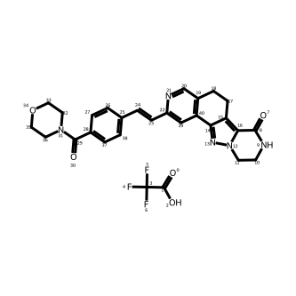 O=C(O)C(F)(F)F.O=C1NCCn2nc3c(c21)CCc1cnc(C=Cc2ccc(C(=O)N4CCOCC4)cc2)cc1-3